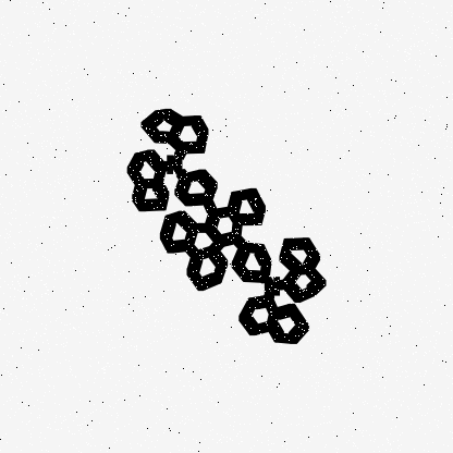 c1ccc2c(N(c3ccc(-c4c5ccccc5c(-c5ccc(N(c6cccc7ccccc67)c6cccc7ccccc67)cc5)c5c6ccccc6c6ccccc6c45)cc3)c3cccc4ccccc34)cccc2c1